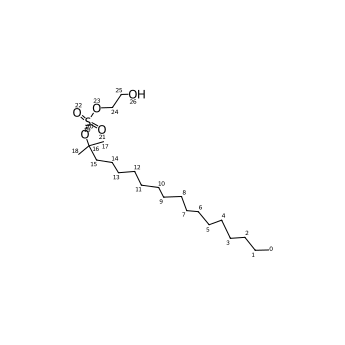 CCCCCCCCCCCCCCCCC(C)(C)OS(=O)(=O)OCCO